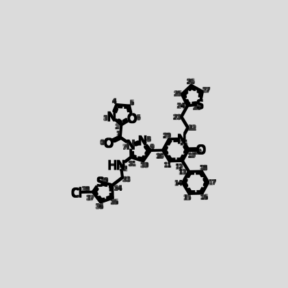 O=C(c1ncco1)n1nc(-c2cc(-c3ccccc3)c(=O)n(CCc3cccs3)c2)cc1NCc1ccc(Cl)s1